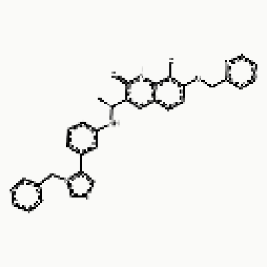 C[C@H](Nc1cccc(-c2cncn2Cc2ccccc2)c1)c1cc2ccc(OCc3ccccn3)c(Cl)c2[nH]c1=O